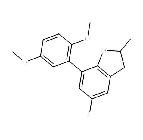 COc1ccc(OC)c(-c2cc(F)cc3c2OC(C)C3)c1